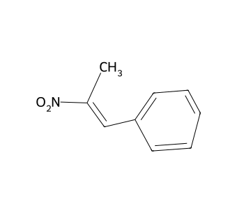 CC(=Cc1ccccc1)[N+](=O)[O-]